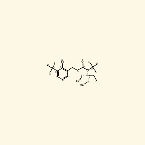 CCC(CO)(CO)N(C(=O)CCc1cccc(C(C)(C)C)c1O)C(C)(C)C